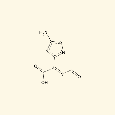 Nc1nc(/C(=N\C=O)C(=O)O)ns1